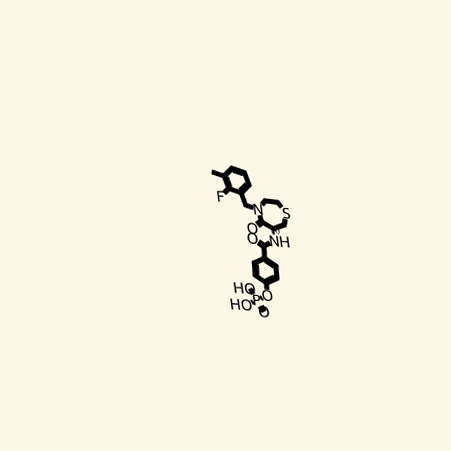 Cc1cccc(CN2CCSC[C@H](NC(=O)c3ccc(OP(=O)(O)O)cc3)C2=O)c1F